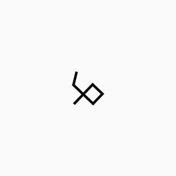 CCC1(C)CCC1